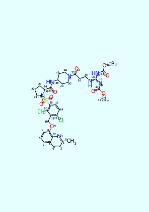 Cc1ccc2cccc(OCc3c(Cl)ccc(S(=O)(=O)N4CCC[C@H]4C(=O)NC4CCN(C(=O)CCN/C(=N\C(=O)OC(C)(C)C)NC(=O)OC(C)(C)C)CC4)c3Cl)c2n1